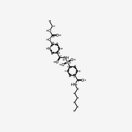 CCCCCCNC(=O)c1ccc(S(=O)(=O)NC(=O)c2ccc(OC(=O)OCC)nc2)cc1